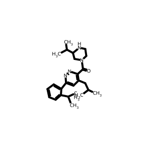 CC(C)Cc1cc(-c2ccccc2C(C)C)nnc1C(=O)N1CCNC(C(C)C)C1